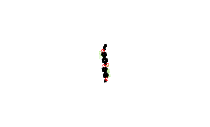 CCCCOc1ccc(C2=CCC(C(=O)Oc3ccc(-c4ccc(OCC)c(F)c4F)c(F)c3F)CC2)c(F)c1F